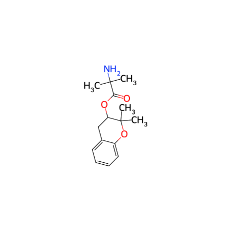 CC(C)(N)C(=O)OC1Cc2ccccc2OC1(C)C